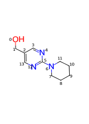 OCc1cnc(N2CCCCC2)nc1